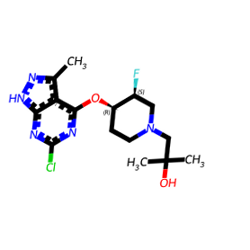 Cc1n[nH]c2nc(Cl)nc(O[C@@H]3CCN(CC(C)(C)O)C[C@@H]3F)c12